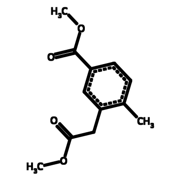 COC(=O)Cc1cc(C(=O)OC)ccc1C